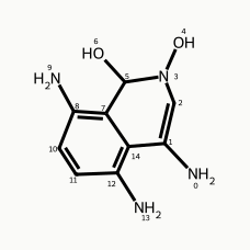 NC1=CN(O)C(O)c2c(N)ccc(N)c21